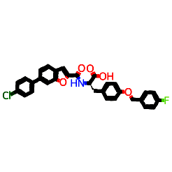 O=C(N[C@@H](Cc1ccc(OCc2ccc(F)cc2)cc1)C(=O)O)c1cc2ccc(-c3ccc(Cl)cc3)cc2o1